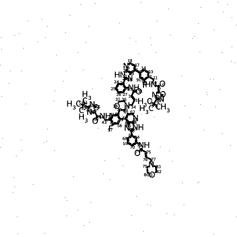 CC(C)(C)c1noc(C(=O)NCc2ccc(-c3ccnc4[nH]c(-c5ccccc5NC(=O)/C=C/CN5CCOC(c6cc(CNC(=O)c7nc(C(C)(C)C)no7)c(F)cc6-c6ccnc7[nH]c(-c8cccc(NC(=O)/C=C/CN9CCOCC9)c8)nc67)C5)nc34)cc2F)n1